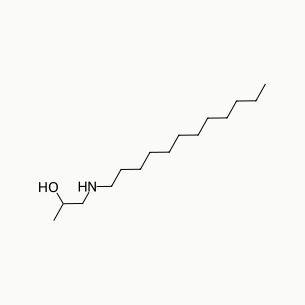 CCCCCCCCCCCCNCC(C)O